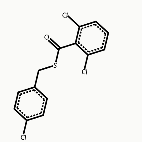 O=C(SCc1ccc(Cl)cc1)c1c(Cl)cccc1Cl